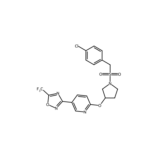 O=S(=O)(Cc1ccc(Cl)cc1)N1CCC(Oc2ccc(-c3noc(C(F)(F)F)n3)cn2)C1